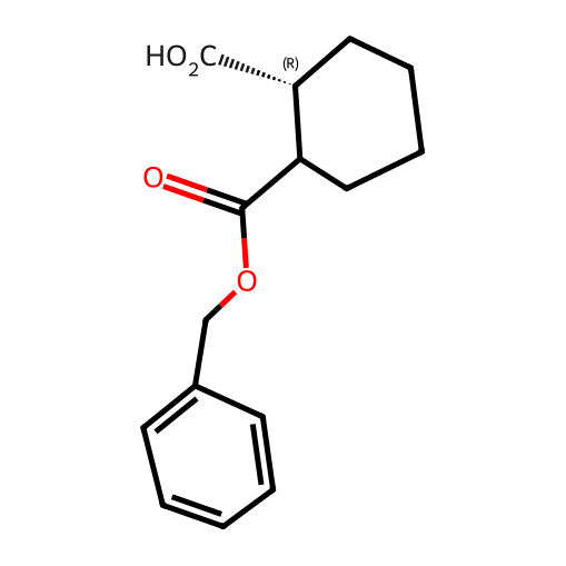 O=C(OCc1ccccc1)C1CCCC[C@H]1C(=O)O